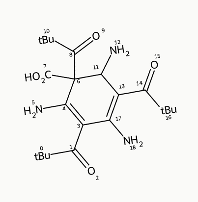 CC(C)(C)C(=O)C1=C(N)C(C(=O)O)(C(=O)C(C)(C)C)C(N)C(C(=O)C(C)(C)C)=C1N